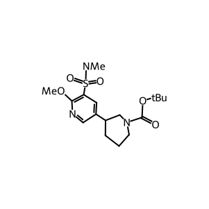 CNS(=O)(=O)c1cc(C2CCCN(C(=O)OC(C)(C)C)C2)cnc1OC